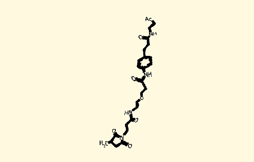 CC(=O)CCNC(=O)CCc1ccc(NC(=O)CCOCCNC(=O)CCN2C(=O)CC(C)C2=O)cc1